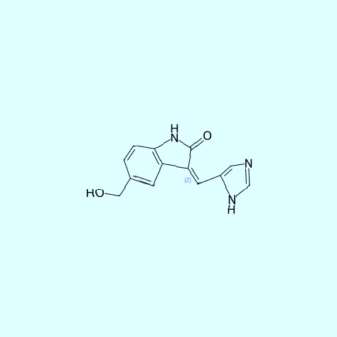 O=C1Nc2ccc(CO)cc2/C1=C/c1cnc[nH]1